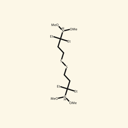 CCC(CC)(CCSSCCC(CC)(CC)[SiH](OC)OC)[SiH](OC)OC